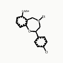 CCN1Cc2c(OC)cccc2OC(c2ccc(Cl)cc2)C1